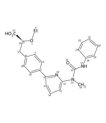 CCO[C@@H](Cc1ccc(-c2cccc(N(C)C(=O)Nc3ccccc3)n2)cc1)C(=O)O